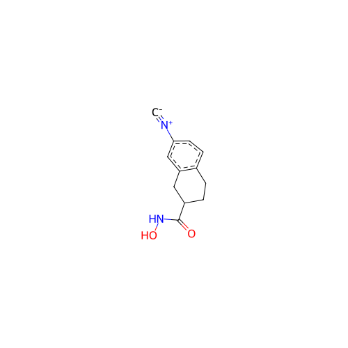 [C-]#[N+]c1ccc2c(c1)CC(C(=O)NO)CC2